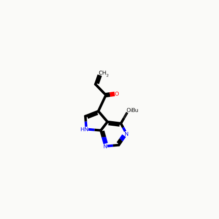 C=CC(=O)c1c[nH]c2ncnc(OCC(C)C)c12